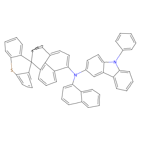 c1ccc(-n2c3ccccc3c3cc(N(c4cccc5ccccc45)c4ccc5c6c(cccc46)C4(c6ccccc6Sc6ccccc64)c4ccccc4-5)ccc32)cc1